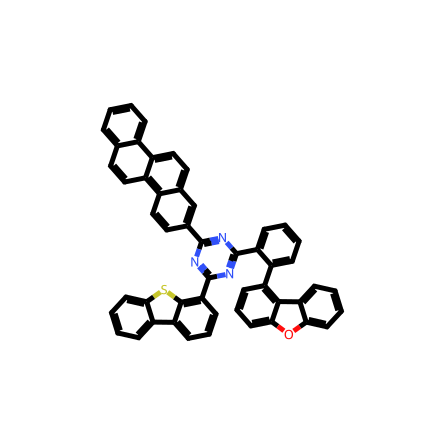 c1ccc(-c2cccc3oc4ccccc4c23)c(-c2nc(-c3ccc4c(ccc5c6ccccc6ccc45)c3)nc(-c3cccc4c3sc3ccccc34)n2)c1